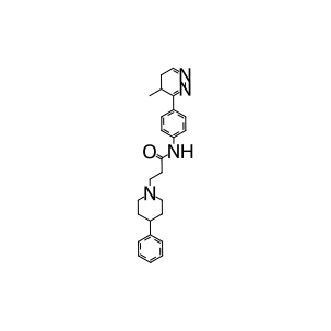 CC1CC=NN=C1c1ccc(NC(=O)CCN2CCC(c3ccccc3)CC2)cc1